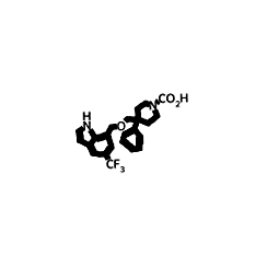 O=C(O)N1CCC(COCc2cc(C(F)(F)F)cc3cc[nH]c23)(c2ccccc2)CC1